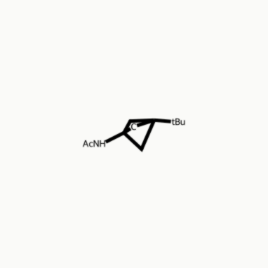 CC(=O)NC12CC(C(C)(C)C)(C1)C2